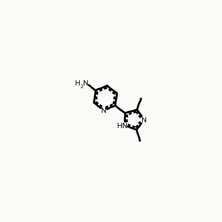 Cc1nc(C)c(-c2ccc(N)cn2)[nH]1